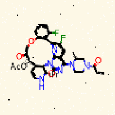 C=CC(=O)N1CCN(c2nc(=O)n3c4nc(c(F)cc24)-c2c(F)cccc2OCC(=O)[C@@H](OC(C)=O)C2=C3C(C(C)C)NC=C2)[C@@H](C)C1